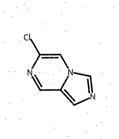 Clc1cn2cncc2cn1